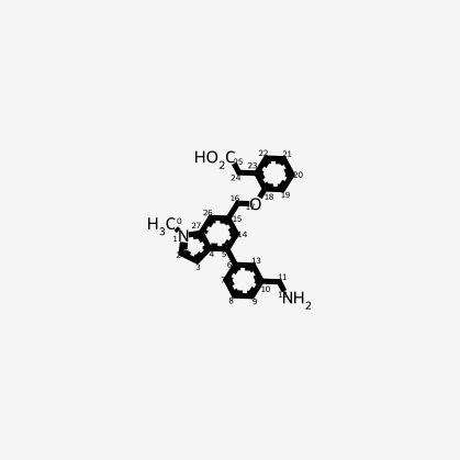 Cn1ccc2c(-c3cccc(CN)c3)cc(COc3ccccc3CC(=O)O)cc21